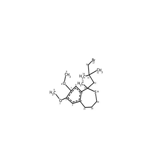 COc1cc2c(cc1OC)C(C)(CC(C)(C)CBr)SCCC2